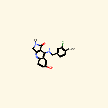 CCN1Cc2nc3ccc(O)cc3c(NCc3ccc(OC)c(Cl)c3)c2C1=O